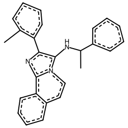 Cc1ccccc1-c1nc2c3ccccc3ccn2c1NC(C)c1ccccc1